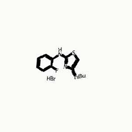 Br.CCCCc1csc(Nc2ccccc2F)n1